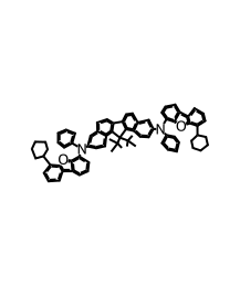 CC(C)(C)C1(C(C)(C)C)c2c(ccc3cc(N(c4ccccc4)c4cccc5c4oc4c(C6CCCCC6)cccc45)ccc23)-c2ccc3cc(N(c4ccccc4)c4cccc5c4oc4c(C6CCCCC6)cccc45)ccc3c21